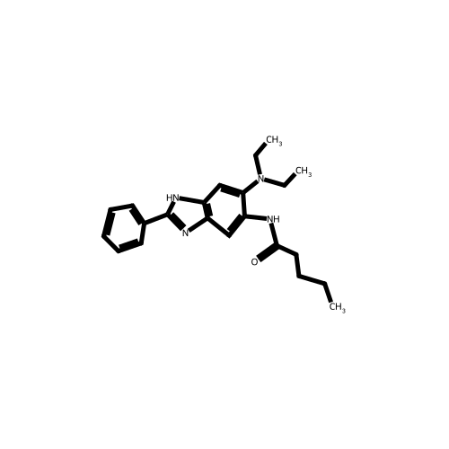 CCCCC(=O)Nc1cc2nc(-c3ccccc3)[nH]c2cc1N(CC)CC